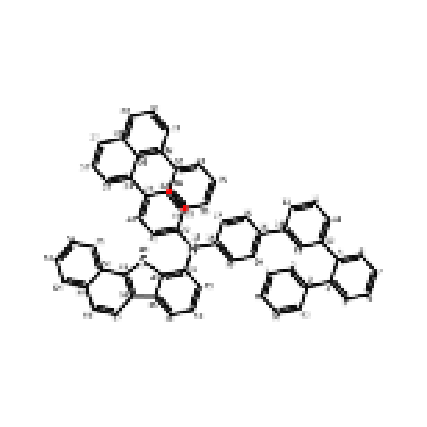 c1ccc(-c2ccccc2-c2cccc(-c3ccc(N(c4ccc(-c5cccc6cccc(-c7ccccc7)c56)cc4)c4cccc5c4sc4c6ccccc6ccc54)cc3)c2)cc1